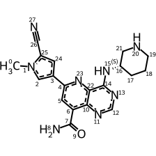 Cn1cc(-c2cc(C(N)=O)c3ncnc(N[C@H]4CCCNC4)c3n2)cc1C#N